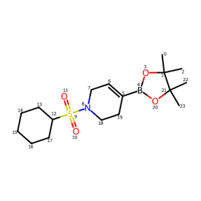 CC1(C)OB(C2=CCN(S(=O)(=O)C3CCCCC3)CC2)OC1(C)C